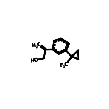 C=C(CO)c1cccc(C2(C(F)(F)F)CC2)c1